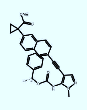 COC(=O)C1(c2ccc3cc(C#Cc4cnn(C)c4NC(=O)O[C@H](C)c4ccccc4)ccc3c2)CC1